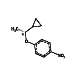 C[C@@H](Oc1ccc([N+](=O)[O-])cc1)C1CC1